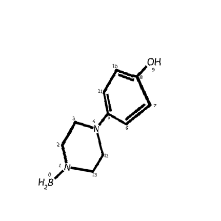 BN1CCN(c2ccc(O)cc2)CC1